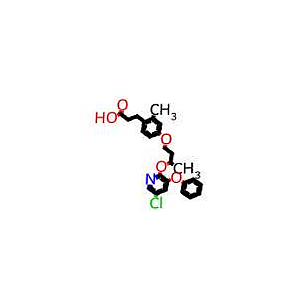 Cc1cc(OCCC(C)Oc2ncc(Cl)cc2Oc2ccccc2)ccc1CCC(=O)O